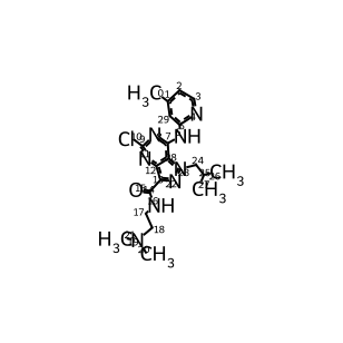 Cc1ccnc(Nc2nc(Cl)nc3c(C(=O)NCCN(C)C)nn(CC(C)C)c23)c1